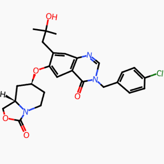 CC(C)(O)Cc1cc2ncn(Cc3ccc(Cl)cc3)c(=O)c2cc1O[C@H]1CCN2C(=O)OC[C@@H]2C1